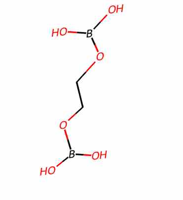 OB(O)OCCOB(O)O